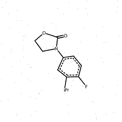 CC(C)c1cc(N2CCOC2=O)ccc1F